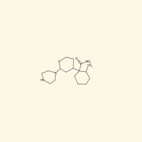 CC1CCCCC1(C(N)=O)C1CCOC(N2CCNCC2)C1